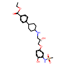 CCOC(=O)c1ccc(C2CCC(NC[C@H](O)COc3ccc(O)c(NS(C)(=O)=O)c3)CC2)cc1